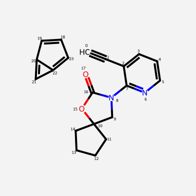 C#Cc1cccnc1N1CC2(CCCC2)OC1=O.c1cc2cc-2c1